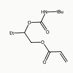 C=CC(=O)OCC(CC)OC(=O)NC(C)(C)C